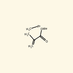 C=C(C)C(=O)OC.CC(C)C